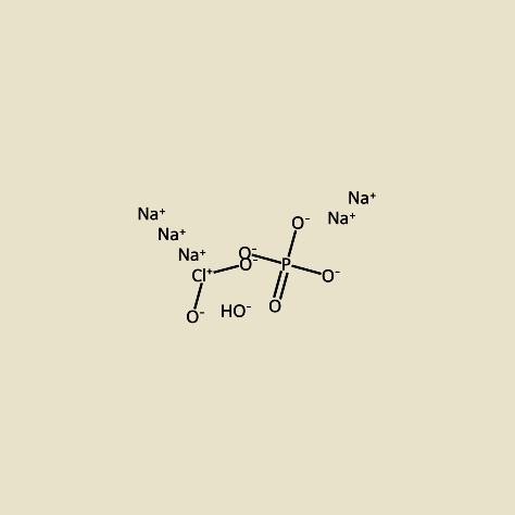 O=P([O-])([O-])[O-].[Na+].[Na+].[Na+].[Na+].[Na+].[O-][Cl+][O-].[OH-]